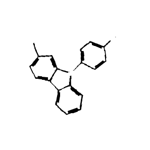 Cc1ccc2c3ccccc3n(-c3ccc(C#N)cc3)c2c1